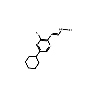 ONC=Nc1ncc(C2CCCCC2)nc1Br